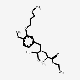 CCOC(=O)[C@@H](N)C[C@H](Cc1ccc(OC)c(OCCCOC)c1)C(C)C